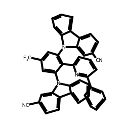 N#Cc1ccc2c3ccccc3n(-c3cc(C(F)(F)F)cc(-n4c5ccccc5c5ccc(C#N)cc54)c3-c3cccc(-c4ccccc4)n3)c2c1